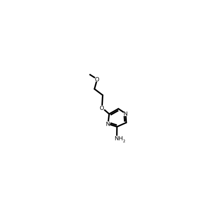 COCCOc1cncc(N)n1